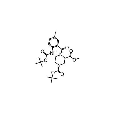 COC(=O)C1CN(C(=O)OC(C)(C)C)CCN1C(=O)c1cc(C)ccc1NC(=O)OC(C)(C)C